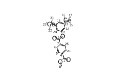 COC(=O)c1ccc(C(=O)Oc2c[c]([Ge]([CH3])([CH3])[CH3])c[c]([Ge]([CH3])([CH3])[CH3])c2)cc1